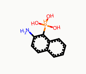 Nc1ccc2ccccc2c1[PH](O)(O)O